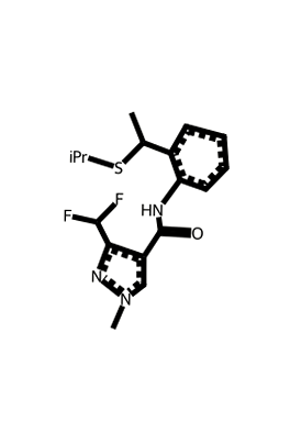 CC(C)SC(C)c1ccccc1NC(=O)c1cn(C)nc1C(F)F